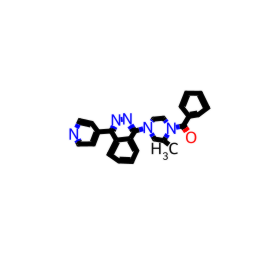 CC1CN(c2nnc(-c3ccncc3)c3ccccc23)CCN1C(=O)c1ccccc1